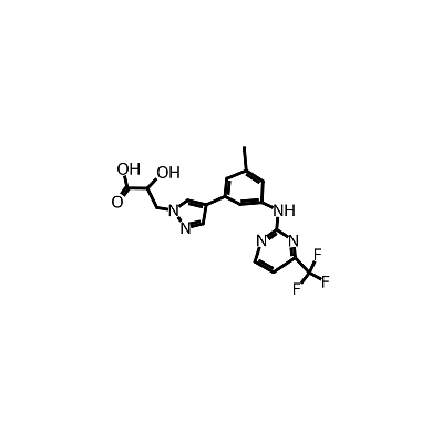 Cc1cc(Nc2nccc(C(F)(F)F)n2)cc(-c2cnn(CC(O)C(=O)O)c2)c1